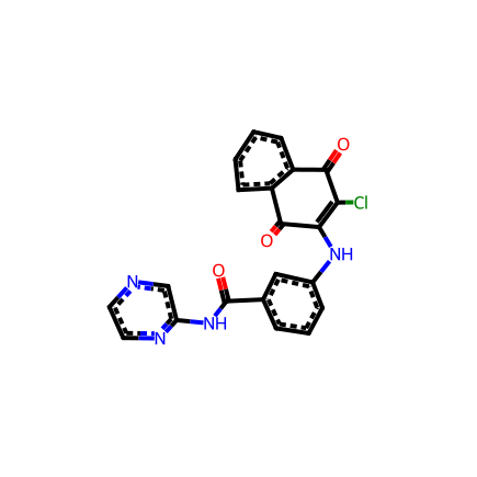 O=C(Nc1cnccn1)c1cccc(NC2=C(Cl)C(=O)c3ccccc3C2=O)c1